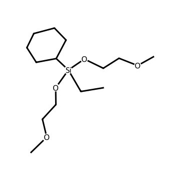 CC[Si](OCCOC)(OCCOC)C1CCCCC1